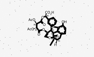 CC(=O)O[C@@H](C(=O)OC1=CC[C@@]2(O)[C@H]3Cc4ccc(O)c5c4[C@@]2(CCN3C)[C@H]1O5)[C@@H](OC(C)=O)C(=O)O[C@@H](C(=O)O)c1ccccc1